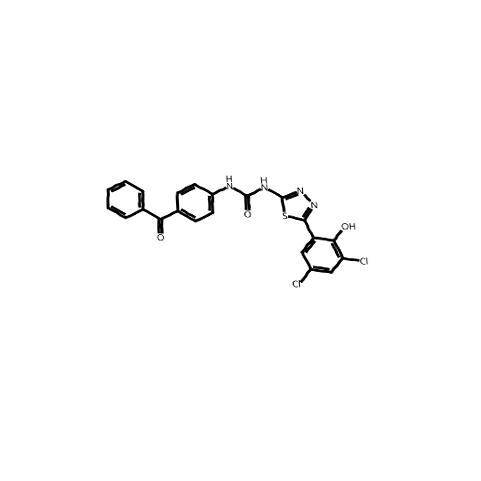 O=C(Nc1ccc(C(=O)c2ccccc2)cc1)Nc1nnc(-c2cc(Cl)cc(Cl)c2O)s1